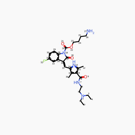 CCN(CC)CCNC(=O)c1c(C)[nH]c(C=C2C(=O)N(C(=O)OCCCCN)c3ccc(F)cc32)c1C